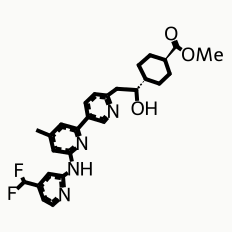 COC(=O)[C@H]1CC[C@H](C(O)Cc2ccc(-c3cc(C)cc(Nc4cc(C(F)F)ccn4)n3)cn2)CC1